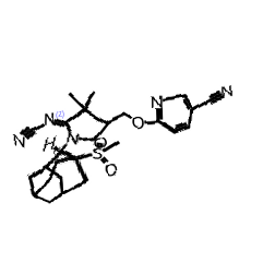 CC1(C)/C(=N/C#N)N([C@H]2C3CC4CC(C3)CC2(S(C)(=O)=O)C4)CC1COc1ccc(C#N)cn1